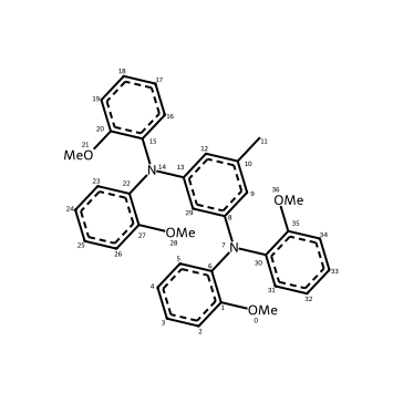 COc1ccccc1N(c1cc(C)cc(N(c2ccccc2OC)c2ccccc2OC)c1)c1ccccc1OC